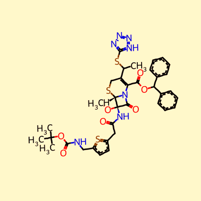 CO[C@@]1(NC(=O)Cc2ccc(CNC(=O)OC(C)(C)C)s2)C(=O)N2C(C(=O)OC(c3ccccc3)c3ccccc3)=C(C(C)Sc3nnn[nH]3)CS[C@H]21